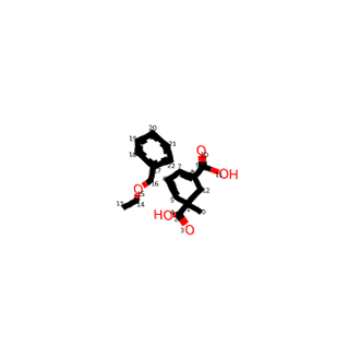 CC1(C(=O)O)C=CC=C(C(=O)O)C1.CCOCc1ccccc1